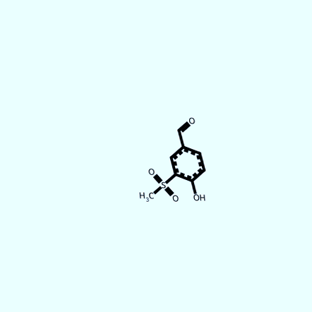 CS(=O)(=O)c1cc(C=O)ccc1O